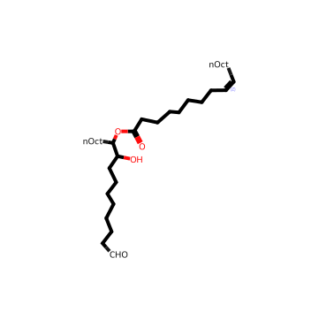 CCCCCCCC/C=C\CCCCCCCC(=O)OC(CCCCCCCC)C(O)CCCCCCCC=O